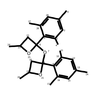 Cc1cc(C)c(C2(OC3(c4c(C)cc(C)cc4C)CC(C)O3)CC(C)O2)c(C)c1